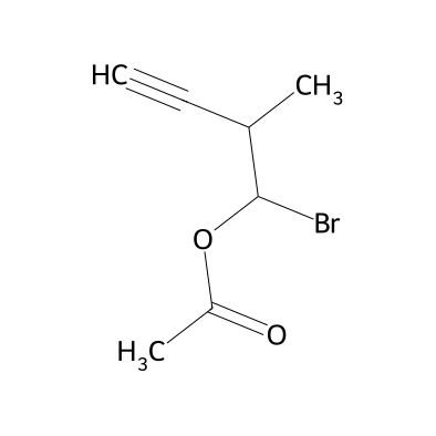 C#CC(C)C(Br)OC(C)=O